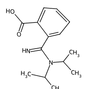 CC(C)N(C(=N)c1ccccc1C(=O)O)C(C)C